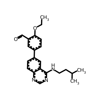 CCOc1ccc(-c2ccc3ncnc(NCCC(C)C)c3c2)cc1C=O